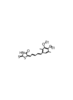 CCOc1c(C)cc(C=CC=CC=C2SC(=S)NC2=O)c(C)c1OCC